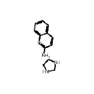 C1CNCN1.Nc1ccc2ccccc2n1